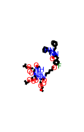 CC(=O)N[C@@H](CC(=O)OCC(C)C)C(=O)N[C@@H](CC(=O)OCC(C)C)C(=O)N[C@@H](CC(=O)OCC(C)C)C(=O)NCCCCCCOc1ccc(Cc2nc3c(Cc4ccccc4)[nH]c(-c4ccccc4)cn-3c2=O)cc1F